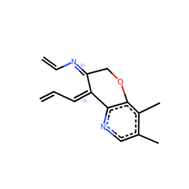 C=C/C=C1\C(=N/C=C)COc2c1ncc(C)c2C